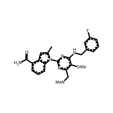 CNCc1nc(-n2c(C)cc3c(C(N)=O)cccc32)nc(NCc2cccc(F)c2)c1OC